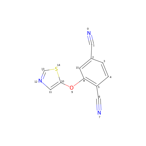 N#Cc1ccc(C#N)c(Oc2cn[c]s2)c1